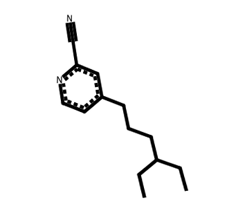 CCC(CC)CCCc1ccnc(C#N)c1